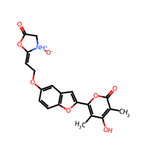 Cc1c(-c2cc3cc(OCC=C4OC(=O)C[NH+]4[O-])ccc3o2)oc(=O)c(C)c1O